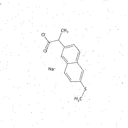 CSc1ccc2cc(C(C)C(=O)[O-])ccc2c1.[Na+]